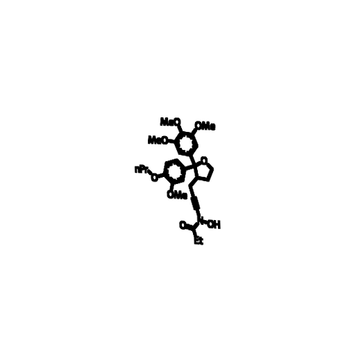 CCCOc1ccc(C2(c3cc(OC)c(OC)c(OC)c3)OCCC2CC#CN(O)C(=O)CC)cc1OC